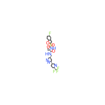 O=C(NCc1cnnc(-c2ccc(C(F)(F)F)nc2)c1)C1(NS(=O)(=O)c2cc3cc(F)ccc3o2)CC1